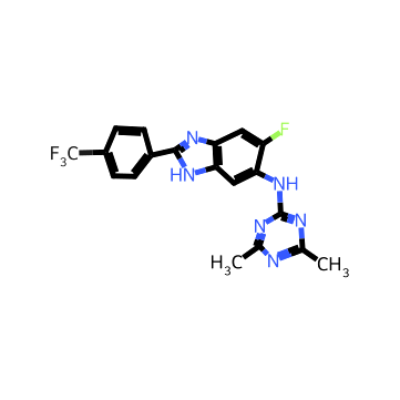 Cc1nc(C)nc(Nc2cc3[nH]c(-c4ccc(C(F)(F)F)cc4)nc3cc2F)n1